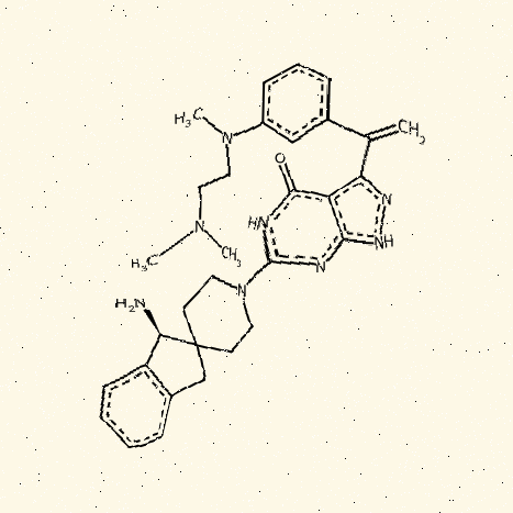 C=C(c1cccc(N(C)CCN(C)C)c1)c1n[nH]c2nc(N3CCC4(CC3)Cc3ccccc3[C@H]4N)[nH]c(=O)c12